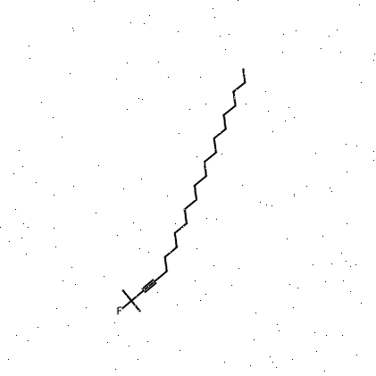 CCCCCCCCCCCCCCCCCCC#CC(C)(C)F